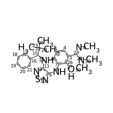 C/N=C(/c1cccc(Nc2nsnc2N[C@@H](c2ccccc2)C(C)(C)C)c1O)N(C)C